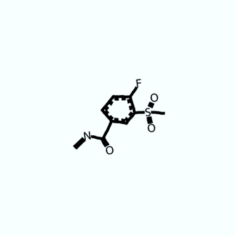 C=NC(=O)c1ccc(F)c(S(C)(=O)=O)c1